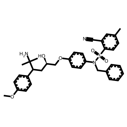 COc1ccc(C(C[C@@H](O)COc2ccc(N(Cc3ccccc3)S(=O)(=O)c3ccc(C)cc3C#N)cc2)C(C)(C)N)cc1